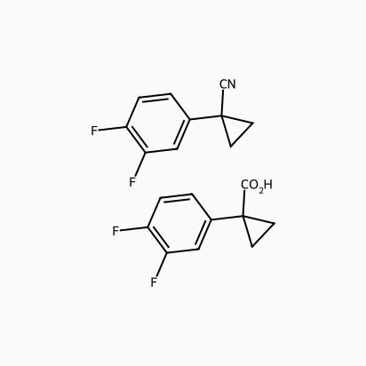 N#CC1(c2ccc(F)c(F)c2)CC1.O=C(O)C1(c2ccc(F)c(F)c2)CC1